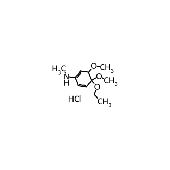 CCOC1(OC)C=CC(NC)=CC1OC.Cl